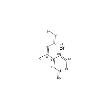 C=C/C=C(C(/C)=C\C=C/C)\C(Br)=C/C